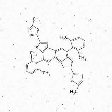 Cc1ccc(-c2cc3c(s2)c(-c2c(C)cccc2C)cc2c4cc(-c5ccc(C)s5)sc4c(-c4c(C)cccc4C)cc32)s1